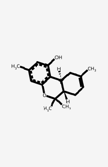 CC1=CC[C@H]2[C@H](C1)c1c(O)cc(C)cc1OC2(C)C